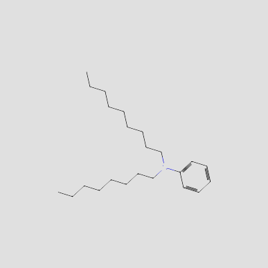 CCCCCCCCCN(CCCCCCCC)c1ccccc1